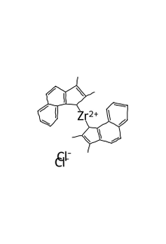 CC1=C(C)[CH]([Zr+2][CH]2C(C)=C(C)c3ccc4ccccc4c32)c2c1ccc1ccccc21.[Cl-].[Cl-]